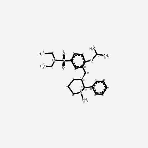 CCN(CC)S(=O)(=O)c1ccc(OC(C)C)c(C[C@@H]2CCCN(N)[C@@H]2c2ccccc2)c1